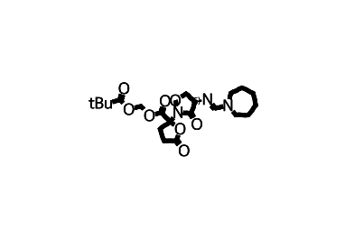 CC(C)(C)C(=O)OCOC(=O)C1(N2OC[C@H](N=CN3CCCCCC3)C2=O)CCC(=O)O1